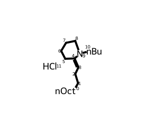 CCCCCCCCCCC=C1CCCCN1CCCC.Cl